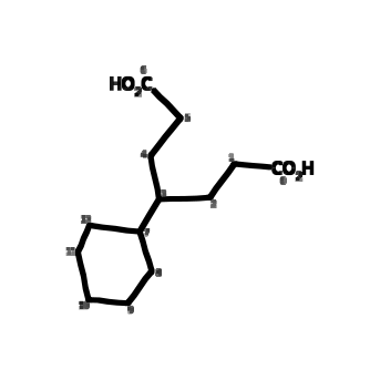 O=C(O)CCC(CCC(=O)O)C1CCCCC1